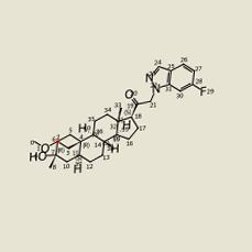 COCC[C@]12CC[C@@](C)(O)C[C@@H]1CC[C@H]1[C@@H]3CC[C@H](C(=O)Cn4ncc5ccc(F)cc54)[C@@]3(C)CC[C@@H]12